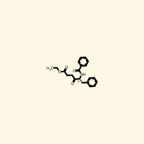 CCOC(=O)CCC(=O)[C@H](Cc1ccccc1)NC(=O)c1ccccc1